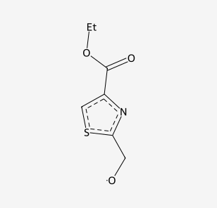 CCOC(=O)c1csc(C[O])n1